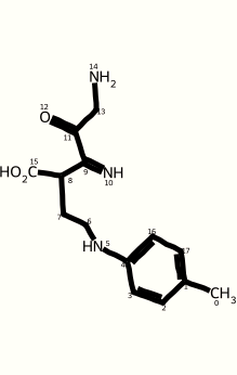 Cc1ccc(NCCC(C(=N)C(=O)CN)C(=O)O)cc1